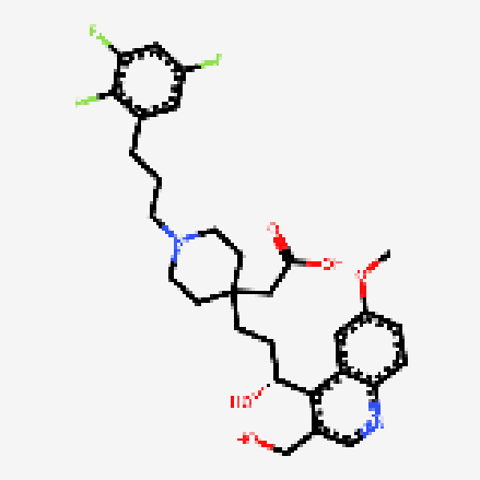 COc1ccc2ncc(CO)c([C@H](O)CCC3(CC(=O)O)CCN(CCCc4cc(F)cc(F)c4F)CC3)c2c1